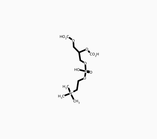 C[N+](C)(C)CCOP(=O)(O)OCC(COC(=O)O)OC(=O)O